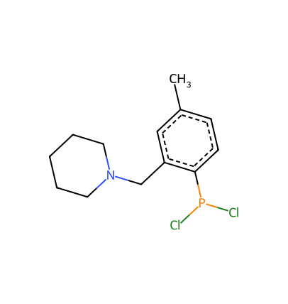 Cc1ccc(P(Cl)Cl)c(CN2CCCCC2)c1